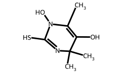 CC1=C(O)C(C)(C)N=C(S)N1O